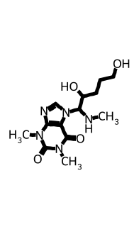 CNC(C(O)CCCO)n1cnc2c1c(=O)n(C)c(=O)n2C